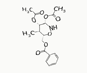 CC(=O)O[C@@H]1NO[C@H](COC(=O)c2ccccc2)C(C)[C@@H]1OC(C)=O